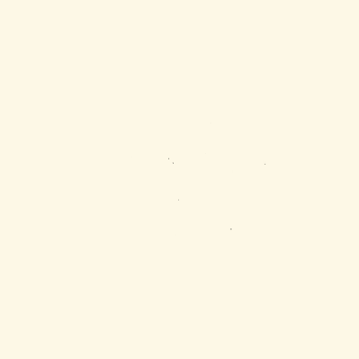 CC(C)(C)OC(=O)N1Cc2ccccc2C1C(=O)C[SiH3]